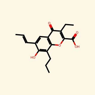 CC=Cc1cc2c(=O)c(CC)c(C(=O)O)oc2c(CCC)c1O